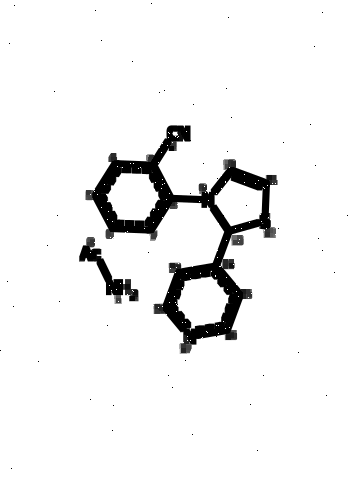 CC(N)=O.N#Cc1ccccc1N1C=CSC1c1ccncc1